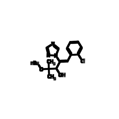 CCCCOC(C)(C)C(O)C(=Cc1ccccc1Cl)n1cncn1